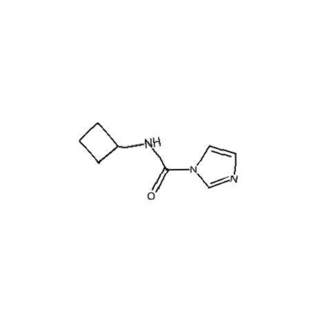 O=C(NC1CCC1)n1ccnc1